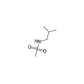 CC(C)[CH]NS(C)(=O)=O